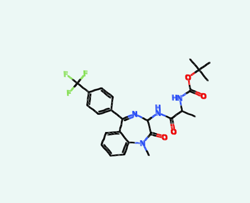 CC(NC(=O)OC(C)(C)C)C(=O)NC1N=C(c2ccc(C(F)(F)F)cc2)c2ccccc2N(C)C1=O